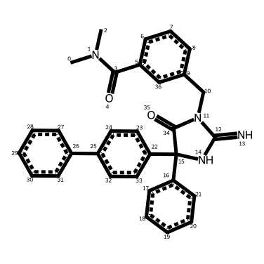 CN(C)C(=O)c1cccc(CN2C(=N)NC(c3ccccc3)(c3ccc(-c4ccccc4)cc3)C2=O)c1